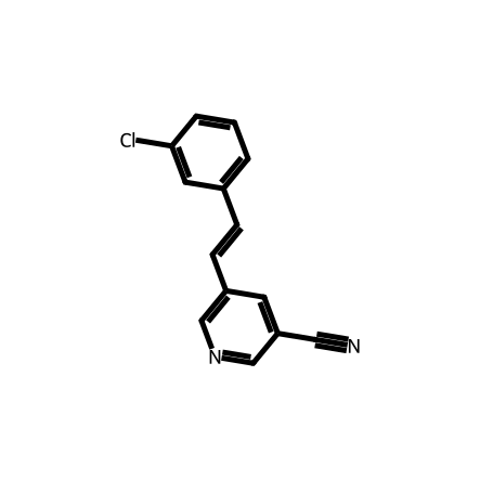 N#Cc1cncc(C=Cc2cccc(Cl)c2)c1